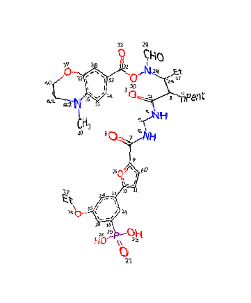 CCCCCC(C(=O)NCNC(=O)c1ccc(-c2cc(OCC)cc(P(=O)(O)O)c2)o1)C(CC)N(C=O)OC(=O)c1ccc2c(c1)OCCN2C